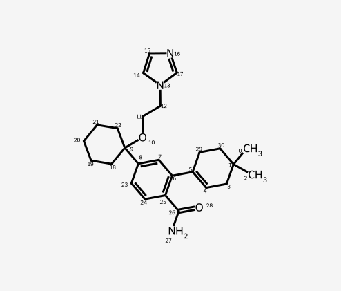 CC1(C)CC=C(c2cc(C3(OCCn4ccnc4)CCCCC3)ccc2C(N)=O)CC1